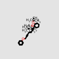 CC(C)(C)[Si](C)(C)OC1(C#CC=CC#CCOc2ccccc2)CCCC=C1O[Si](C)(C)C